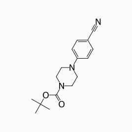 CC(C)(C)OC(=O)N1CCN(c2ccc(C#N)cc2)CC1